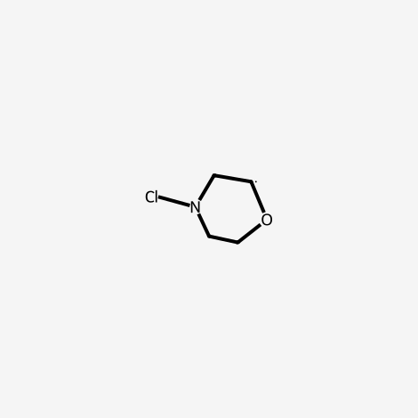 ClN1C[CH]OCC1